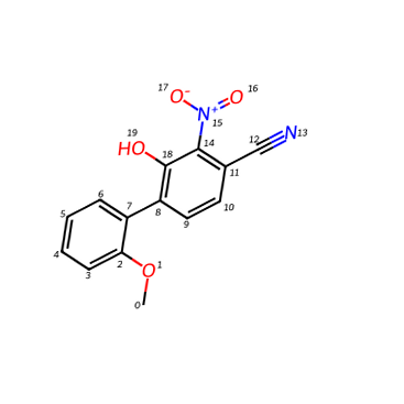 COc1ccccc1-c1ccc(C#N)c([N+](=O)[O-])c1O